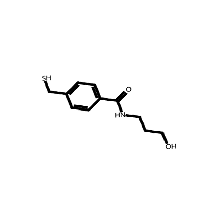 O=C(NCCCO)c1ccc(CS)cc1